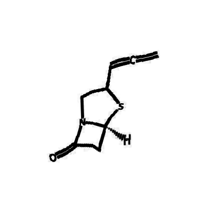 C=C=CC1CN2C(=O)C[C@@H]2S1